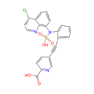 O=C(O)c1ccc(C#Cc2ccccc2N(c2cccc3c(Cl)ccnc23)S(=O)(=O)O)cn1